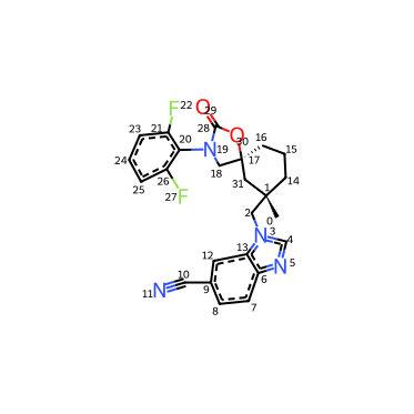 C[C@]1(Cn2cnc3ccc(C#N)cc32)CCC[C@@]2(CN(c3c(F)cccc3F)C(=O)O2)C1